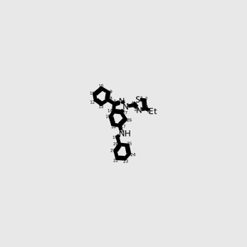 CCc1csc(-n2nc(-c3ccccc3)c3ccc(NCc4ccccc4)cc32)n1